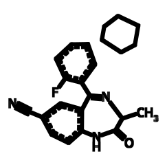 C1CCCCC1.CC1N=C(c2ccccc2F)c2cc(C#N)ccc2NC1=O